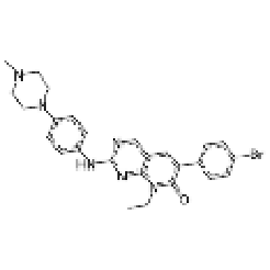 CCn1c(=O)c(-c2ccc(Br)cc2)cc2cnc(Nc3ccc(N4CCN(C)CC4)cc3)nc21